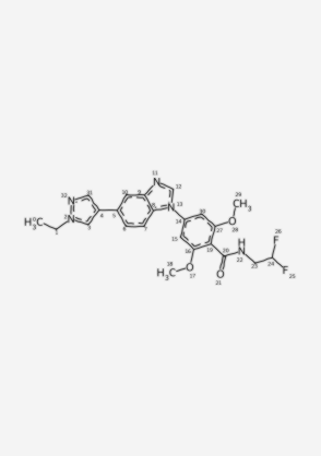 CCn1cc(-c2ccc3c(c2)ncn3-c2cc(OC)c(C(=O)NCC(F)F)c(OC)c2)cn1